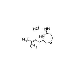 CC(C)=CCC1CSCCC(=N)N1.Cl